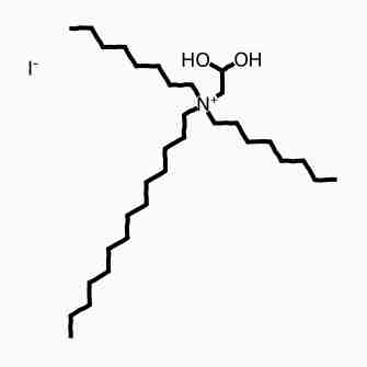 CCCCCCCCCCCCCC[N+](CCCCCCCC)(CCCCCCCC)CC(O)O.[I-]